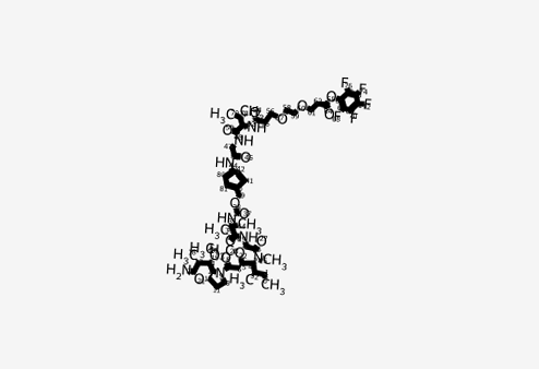 CC[C@H](C)[C@@H]([C@@H](CC(=O)N1CCC[C@H]1[C@H](OC)[C@@H](C)C(N)=O)OC)N(C)C(=O)CNC(=O)C(C)(C)NC(=O)OCc1ccc(NC(=O)CNC(=O)C(NC(=O)CCOCCOCCC(=O)Oc2c(F)c(F)c(F)c(F)c2F)C(C)C)cc1